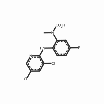 CN(C(=O)O)c1cc(F)ccc1Nc1ncc(Cl)cc1Cl